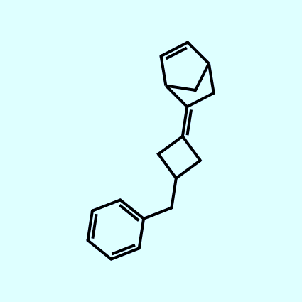 C1=CC2CC1CC2=C1CC(Cc2ccccc2)C1